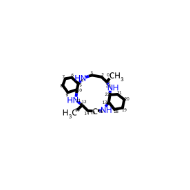 CC1CCNC2CCCCC2NC(C)CCNC2CCCCC2N1